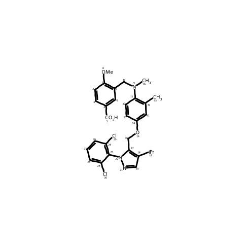 COc1ccc(C(=O)O)cc1CN(C)c1ccc(OCc2c(C(C)C)cnn2-c2c(Cl)cccc2Cl)cc1C